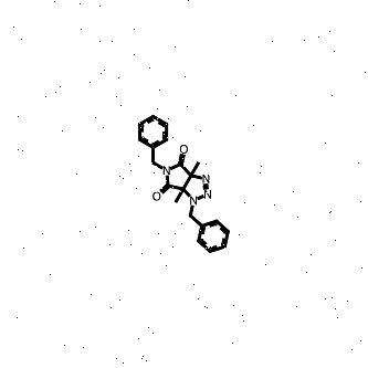 CC12N=NN(Cc3ccccc3)C1(C)C(=O)N(Cc1ccccc1)C2=O